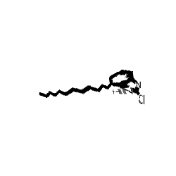 CCCCCCCCCCCCc1cccc2nc(Cl)[nH]c12